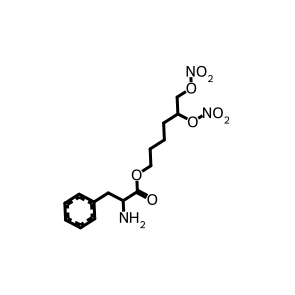 NC(Cc1ccccc1)C(=O)OCCCCC(CO[N+](=O)[O-])O[N+](=O)[O-]